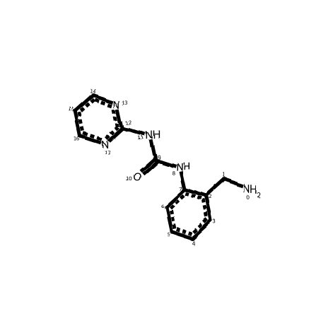 NCc1ccccc1NC(=O)Nc1ncccn1